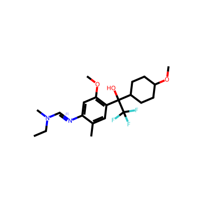 CCN(C)/C=N/c1cc(OC)c(C(O)(C2CCC(OC)CC2)C(F)(F)F)cc1C